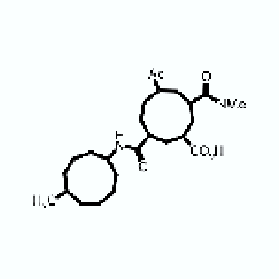 CNC(=O)C1CC(C(C)=O)CCC(C(=O)NC2CCCCC(C)CCC2)CC(C(=O)O)C1